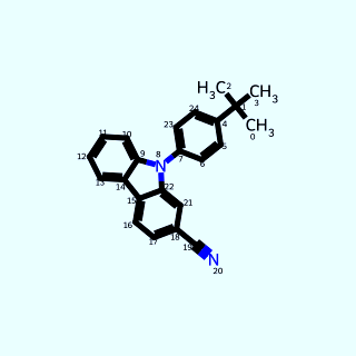 CC(C)(C)c1ccc(-n2c3ccccc3c3ccc(C#N)cc32)cc1